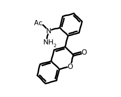 CC(=O)N(N)c1ccccc1-c1cc2ccccc2oc1=O